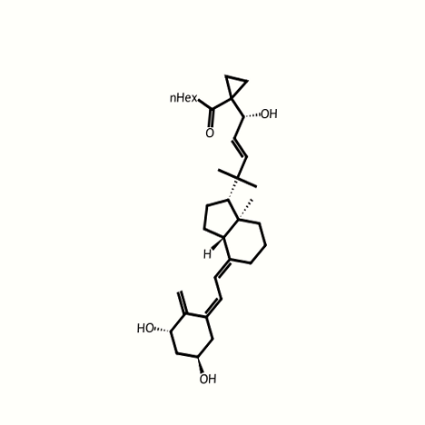 C=C1/C(=C\C=C2/CCC[C@]3(C)[C@@H](C(C)(C)/C=C/[C@@H](O)C4(C(=O)CCCCCC)CC4)CC[C@@H]23)C[C@@H](O)C[C@@H]1O